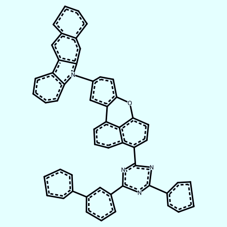 c1ccc(-c2cccc(-c3nc(-c4ccccc4)nc(-c4ccc5c6c(cccc46)-c4cc(-n6c7ccccc7c7cc8ccccc8cc76)ccc4O5)n3)c2)cc1